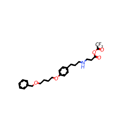 O=C(CCNCCCc1ccc(OCCCCOCc2ccccc2)cc1)OC(=O)C(F)(F)F